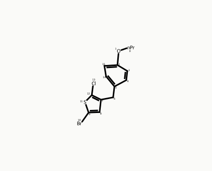 CCCOc1ccc(Cc2cc(Br)sc2Cl)cc1